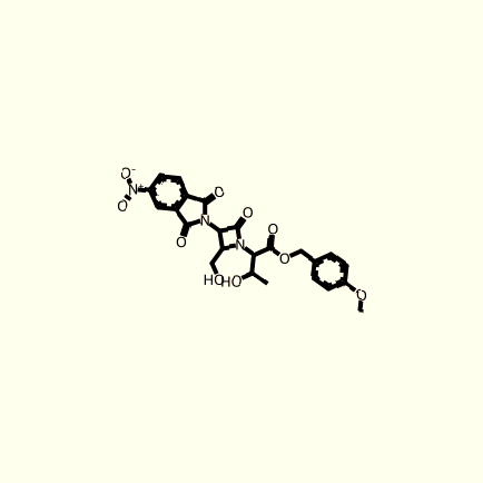 COc1ccc(COC(=O)C(C(C)O)N2C(=O)C(N3C(=O)c4ccc([N+](=O)[O-])cc4C3=O)C2CO)cc1